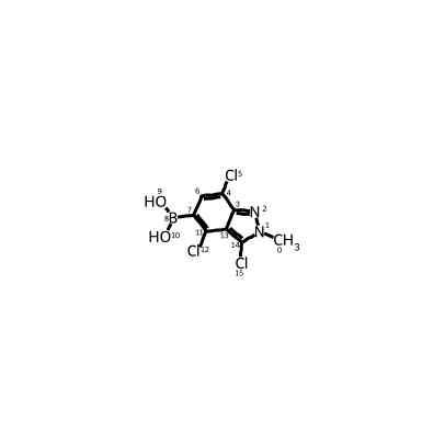 Cn1nc2c(Cl)cc(B(O)O)c(Cl)c2c1Cl